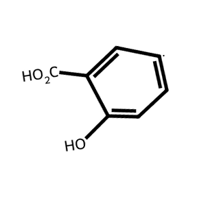 O=C(O)c1c[c]ccc1O